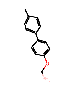 BCOc1ccc(-c2ccc(C)cc2)cc1